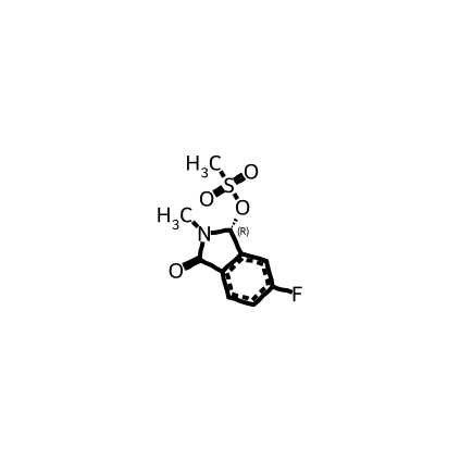 CN1C(=O)c2ccc(F)cc2[C@H]1OS(C)(=O)=O